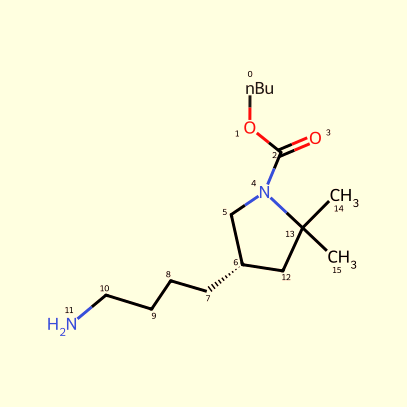 CCCCOC(=O)N1C[C@@H](CCCCN)CC1(C)C